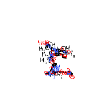 COc1cc(=O)n(C)cc1-c1ccc2nc(N3CCC(CN4C[C@@H](C)N(C(=O)O)C[C@@H]4C)CC3)nc(C(COC3CCCCO3)(CC3CC3)c3ccc(OC(=O)N(C)CCN(C)C(=O)OCc4ccc(NC(=O)[C@H](CCCNC(N)=O)NC(=O)[C@@H](NC(=O)CCOCCOCCN5C(=O)C=CC5=O)C(C)C)cc4)cc3)c2c1